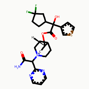 NC(=O)C(c1ncccn1)[N+]12CCC(CC1)[C@@H](OC(=O)C(O)(c1ccsc1)C1CCC(F)(F)C1)C2